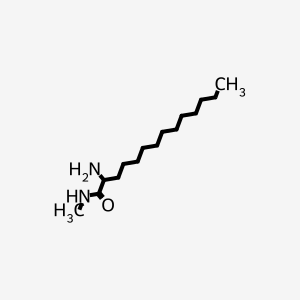 CCCCCCCCCCCCC(N)C(=O)NC